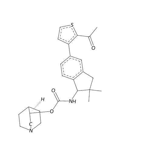 CC(=O)c1sccc1-c1ccc2c(c1)CC(C)(C)C2NC(=O)O[C@H]1CN2CCC1CC2